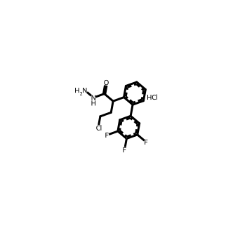 Cl.NNC(=O)C(CCCl)c1ccccc1-c1cc(F)c(F)c(F)c1